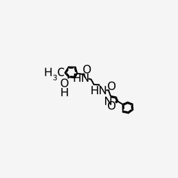 Cc1ccc(C(=O)NCCCNC(=O)c2cc(-c3ccccc3)on2)cc1O